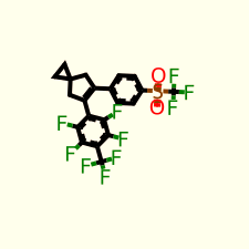 O=S(=O)(c1ccc(C2=C(c3c(F)c(F)c(C(F)(F)F)c(F)c3F)CC3(CC3)C2)cc1)C(F)(F)F